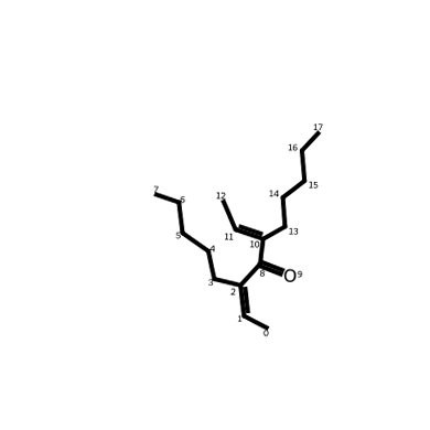 CC=C(CCCCC)C(=O)C(=CC)CCCCC